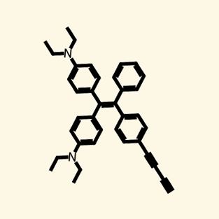 C#CC#Cc1ccc(C(=C(c2ccc(N(CC)CC)cc2)c2ccc(N(CC)CC)cc2)c2ccccc2)cc1